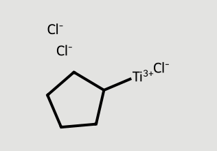 [Cl-].[Cl-].[Cl-].[Ti+3][CH]1CCCC1